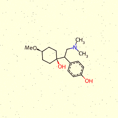 CO[C@H]1CC[C@](O)(C(CN(C)C)c2ccc(O)cc2)CC1